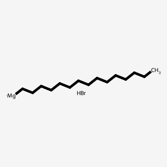 Br.CCCCCCCCCCCCCC[CH2][Mg]